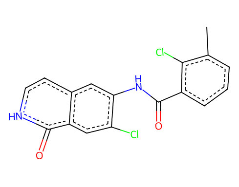 Cc1cccc(C(=O)Nc2cc3cc[nH]c(=O)c3cc2Cl)c1Cl